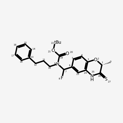 C[C@H]1Oc2ccc(C(F)N(CCCc3ccccc3)C(=O)OC(C)(C)C)cc2NC1=S